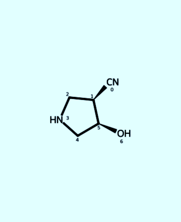 N#C[C@@H]1CNC[C@@H]1O